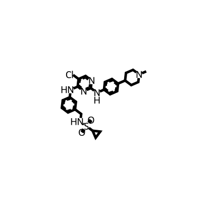 CN1CCC(c2ccc(Nc3ncc(Cl)c(Nc4cccc(CNS(=O)(=O)C5CC5)c4)n3)cc2)CC1